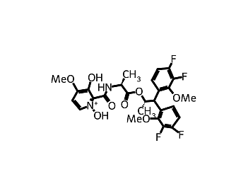 COc1cc[n+](O)c(C(=O)N[C@@H](C)C(=O)O[C@@H](C)C(c2ccc(F)c(F)c2OC)c2ccc(F)c(F)c2OC)c1O